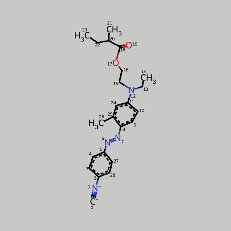 [C-]#[N+]c1ccc(/N=N/c2ccc(N(CC)CCOC(=O)C(C)CC)cc2C)cc1